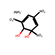 O=[N+]([O-])C1=CC(O)([N+](=O)[O-])C(O)C([N+](=O)[O-])=C1.[PbH2]